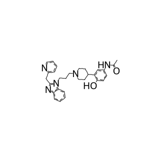 CC(=O)Nc1ccc(O)c(C2CCN(CCCn3c(Cc4ccccn4)nc4ccccc43)CC2)c1